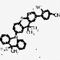 CC1(C)c2cc(-c3ccc(C#N)cc3C#N)ccc2Sc2ccc(N3c4ccccc4C(C)(C)c4ccccc43)cc21